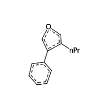 [CH2]CCc1cocc1-c1ccccc1